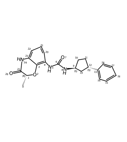 C[C@H]1Oc2c(NC(=O)N[C@H]3CC[C@H](c4ccccc4)C3)cccc2NC1=O